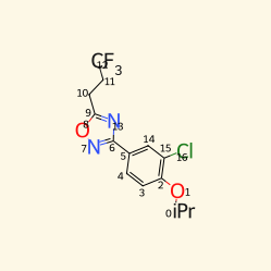 CC(C)Oc1ccc(-c2noc(CCC(F)(F)F)n2)cc1Cl